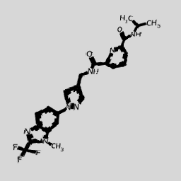 CC(C)NC(=O)c1cccc(C(=O)NCc2cnn(-c3ccc4nc(C(F)(F)F)n(C)c4c3)c2)n1